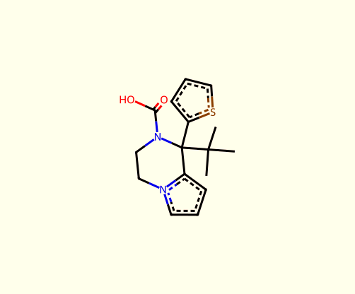 CC(C)(C)C1(c2cccs2)c2cccn2CCN1C(=O)O